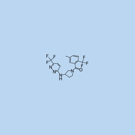 Cc1ccc(C(F)(F)F)c(C(=O)N2CCC(Nc3ccc(C(F)(F)F)nn3)C2)c1